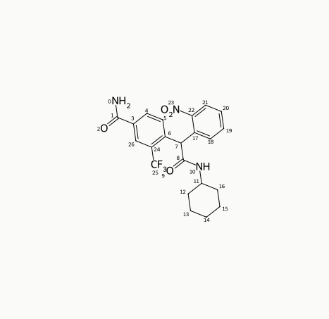 NC(=O)c1ccc(C(C(=O)NC2CCCCC2)c2ccccc2[N+](=O)[O-])c(C(F)(F)F)c1